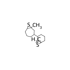 CC12CC(C3CCCC4(C)SC34)CCCC1S2